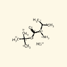 CC(C)N(N)C(=O)OC(C)(C)C.Cl